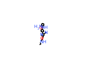 CCCNCCOCc1cnc(-c2ccc(C(=O)Nc3ccccc3N)cc2)c(C#N)c1